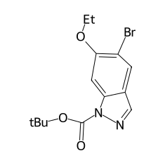 CCOc1cc2c(cnn2C(=O)OC(C)(C)C)cc1Br